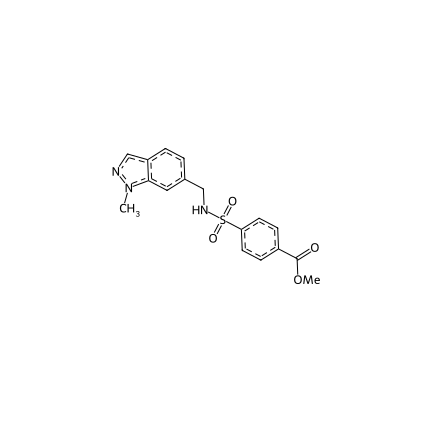 COC(=O)c1ccc(S(=O)(=O)NCc2ccc3cnn(C)c3c2)cc1